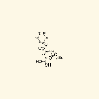 CC(C)(C)OC(=O)N[C@@H](CCC(O)O)C(=O)OC1CCCCC1